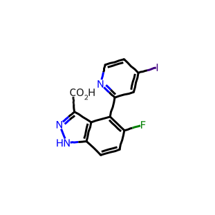 O=C(O)c1n[nH]c2ccc(F)c(-c3cc(I)ccn3)c12